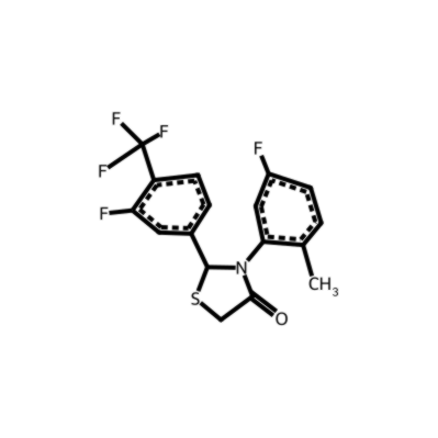 Cc1ccc(F)cc1N1C(=O)CSC1c1ccc(C(F)(F)F)c(F)c1